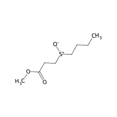 CCCC[S+]([O-])CCC(=O)OC